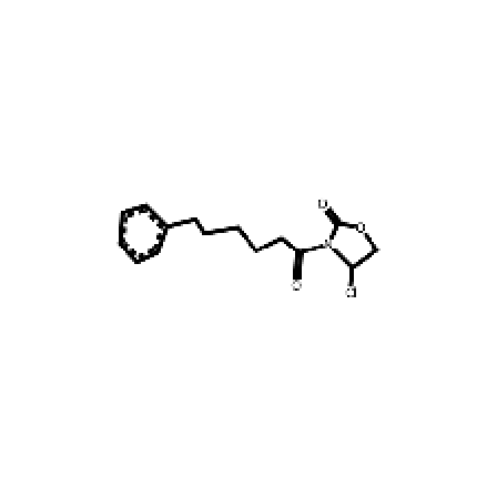 O=C(CCCCCc1ccccc1)N1C(=O)OCC1Cl